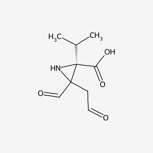 CC(C)[C@@]1(C(=O)O)NC1(C=O)CC=O